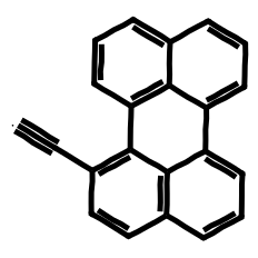 [C]#Cc1ccc2cccc3c4cccc5cccc(c1c23)c54